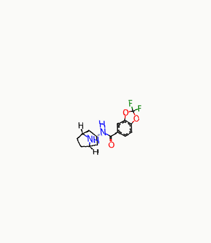 O=C(N[C@H]1C[C@H]2CC[C@@H](C1)N2)c1ccc2c(c1)OC(F)(F)O2